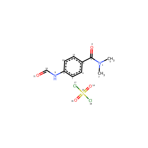 CN(C)C(=O)c1ccc(NC=O)cc1.O=S(=O)(Cl)Cl